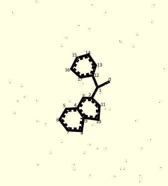 CC(c1[c]c2ccccc2cc1)c1ccccc1